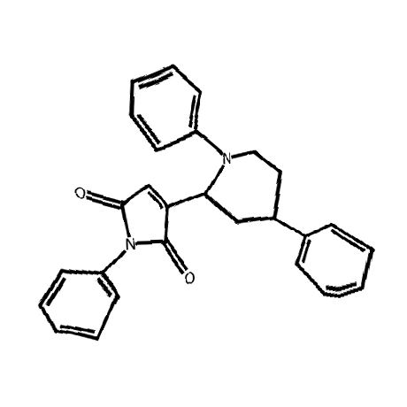 O=C1C=C(C2CC(c3ccccc3)CCN2c2ccccc2)C(=O)N1c1ccccc1